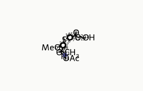 COc1cc(Sc2ccc(C(=O)OCCO)cc2)ccc1C(=O)/C(C)=N/OC(C)=O